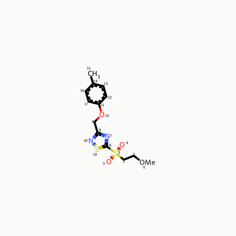 COCCS(=O)(=O)c1nc(COc2ccc(C)cc2)ns1